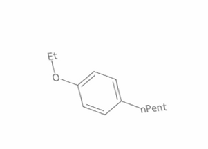 [CH2]CCCCc1ccc(OCC)cc1